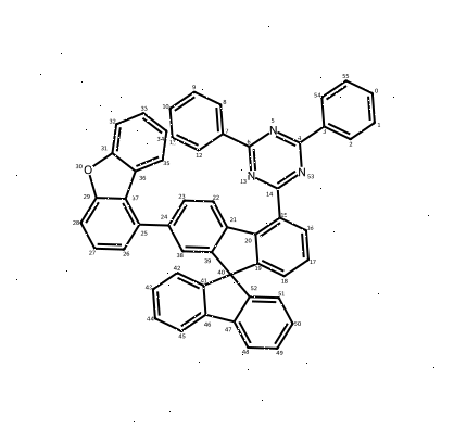 c1ccc(-c2nc(-c3ccccc3)nc(-c3cccc4c3-c3ccc(-c5cccc6oc7ccccc7c56)cc3C43c4ccccc4-c4ccccc43)n2)cc1